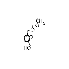 COCOCc1ccc(CO)o1